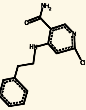 NC(=O)c1cnc(Cl)cc1NCCc1ccccc1